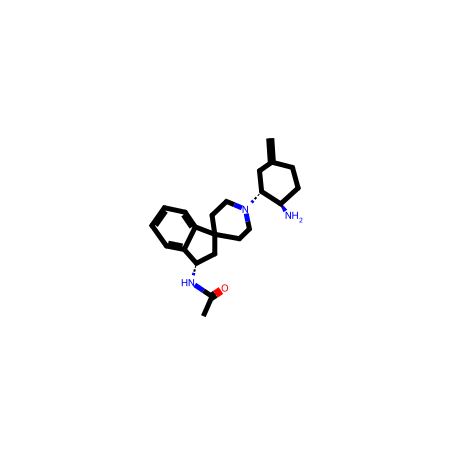 C=C1CC[C@@H](N)[C@H](N2CCC3(CC2)C[C@H](NC(C)=O)c2ccccc23)C1